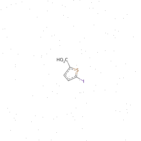 O=C(O)c1ccc(I)s1